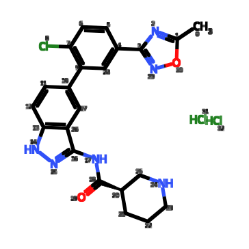 Cc1nc(-c2ccc(Cl)c(-c3ccc4[nH]nc(NC(=O)[C@@H]5CCCNC5)c4c3)c2)no1.Cl.Cl